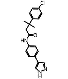 CC(C)(CC(=O)Nc1ccc(-c2cn[nH]c2)cc1)c1ccc(Cl)cc1